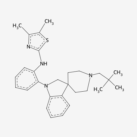 Cc1nc(Nc2ccccc2N2CC3(CCN(CC(C)(C)C)CC3)c3ccccc32)sc1C